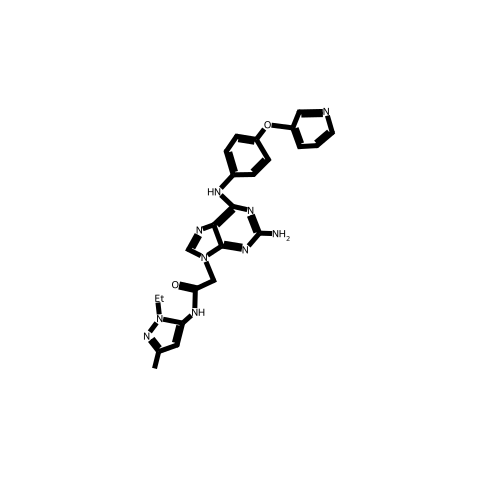 CCn1nc(C)cc1NC(=O)Cn1cnc2c(Nc3ccc(Oc4cccnc4)cc3)nc(N)nc21